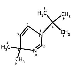 CC1(C)C=CN(C(C)(C)C)C=N1